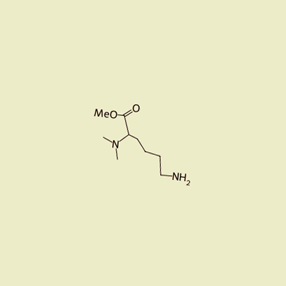 COC(=O)C(CCCCN)N(C)C